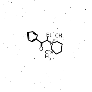 CCC(C(=O)c1ccccc1)N1[C@H](C)CCC[C@@H]1C